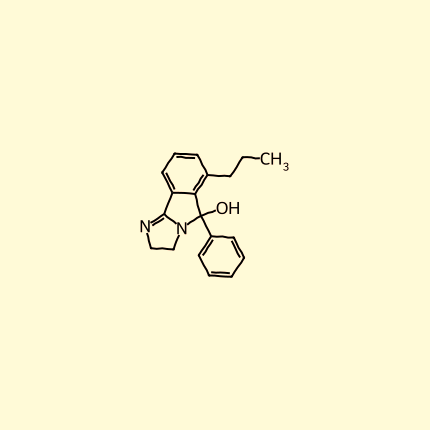 CCCc1cccc2c1C(O)(c1ccccc1)N1CCN=C21